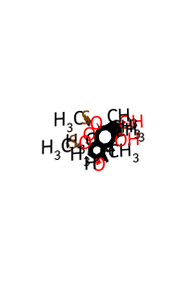 CSCO[C@H]1C(=O)[C@]2(C)[C@@H](OCSC)C[C@H]3OC[C@@]3(C)[C@H]2[C@H](C)[C@]2(O)C[C@H](O)C(C)=C1C2(C)C